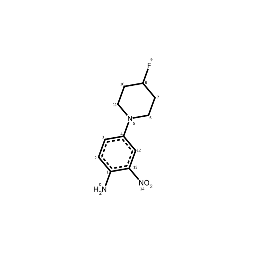 Nc1ccc(N2CCC(F)CC2)cc1[N+](=O)[O-]